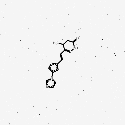 CC1CC(=O)NN=C1C=Cc1cc(-n2ccnc2)cs1